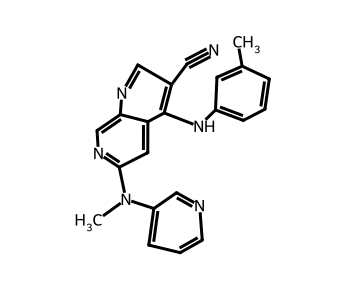 Cc1cccc(Nc2c(C#N)cnc3cnc(N(C)c4cccnc4)cc23)c1